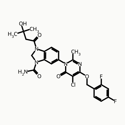 Cc1nc(OCc2ccc(F)cc2F)c(Cl)c(=O)n1-c1ccc2c(c1)N(C(N)=O)CN2C(=O)CC(C)(C)O